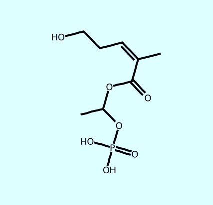 CC(=CCCO)C(=O)OC(C)OP(=O)(O)O